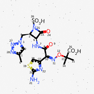 Cc1cn(C[C@@H]2[C@H](NC(=O)/C(=N\OC(C)(C)C(=O)O)c3csc(N)n3)C(=O)N2S(=O)(=O)O)nn1